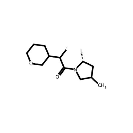 CC1C[C@@H](I)N(C(=O)C(I)C2CCCOC2)C1